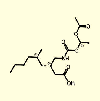 CCCC[C@@H](C)C[C@H](CNC(=O)O[C@H](C)OC(C)=O)CC(=O)O